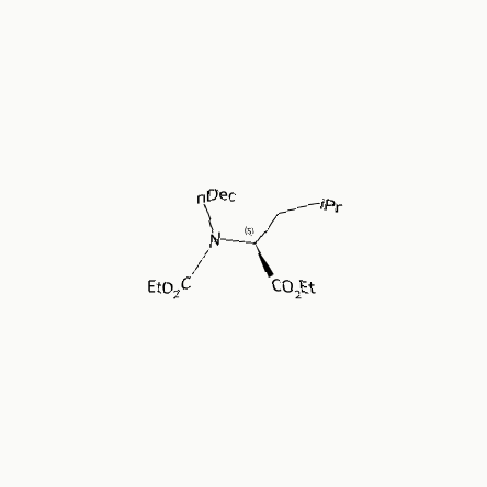 CCCCCCCCCCN(C(=O)OCC)[C@@H](CC(C)C)C(=O)OCC